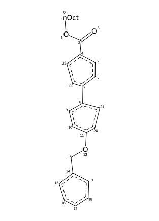 CCCCCCCCOC(=O)c1ccc(-c2ccc(OCc3ccccc3)cc2)cc1